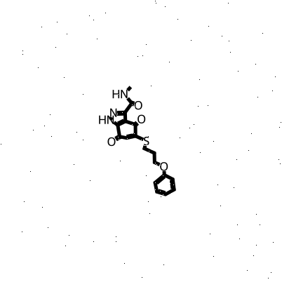 CNC(=O)c1n[nH]c2c1C(=O)C(SCCCOc1ccccc1)=CC2=O